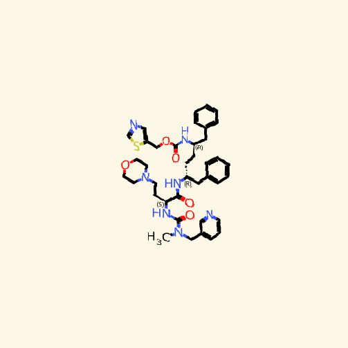 CN(Cc1cccnc1)C(=O)N[C@@H](CCN1CCOCC1)C(=O)N[C@H](CC[C@H](Cc1ccccc1)NC(=O)OCc1cncs1)Cc1ccccc1